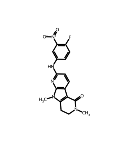 CN1CCc2c(c3ccc(Nc4ccc(F)c([N+](=O)[O-])c4)nc3n2C)C1=O